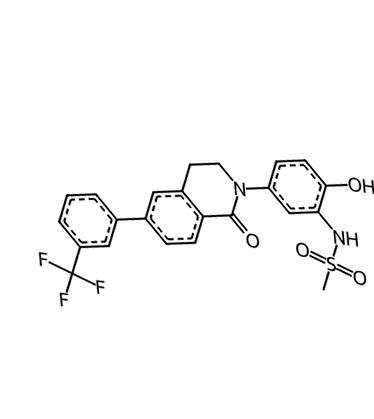 CS(=O)(=O)Nc1cc(N2CCc3cc(-c4cccc(C(F)(F)F)c4)ccc3C2=O)ccc1O